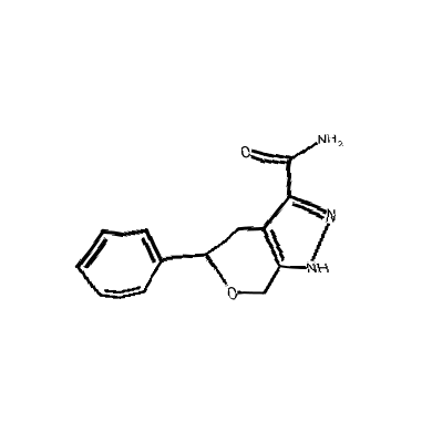 NC(=O)c1n[nH]c2c1CC(c1ccccc1)OC2